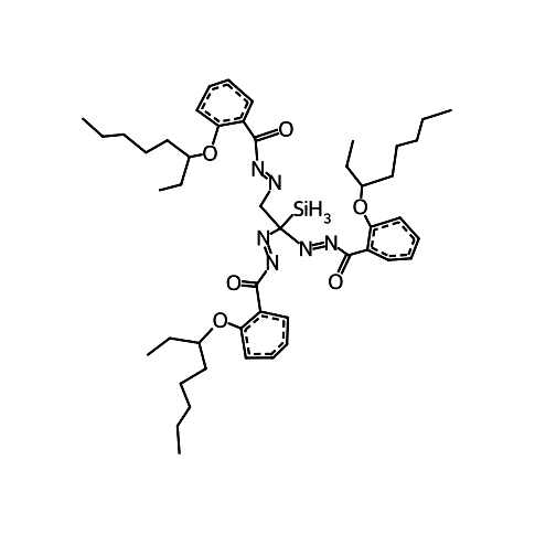 CCCCCC(CC)Oc1ccccc1C(=O)N=NCC([SiH3])(N=NC(=O)c1ccccc1OC(CC)CCCCC)N=NC(=O)c1ccccc1OC(CC)CCCCC